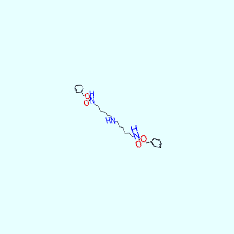 O=C(NCCCCCCNCCCCCCNC(=O)OCc1ccccc1)OCc1ccccc1